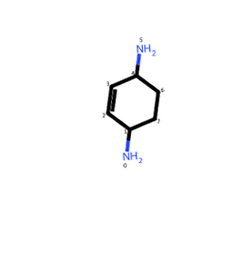 NC1C=CC(N)CC1